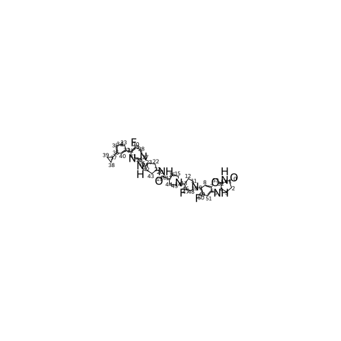 O=C1CCC(Nc2ccc(N3CCC(N4CCC(C(=O)NC5CCC(Nc6ncc(F)c(-c7cccc(C8CC8)c7)n6)CC5)CC4)C(F)C3)c(F)c2)C(=O)N1